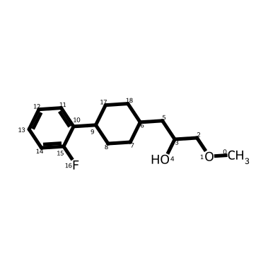 COCC(O)CC1CCC(c2ccccc2F)CC1